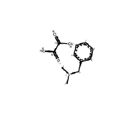 CN(C)Cc1ccccc1.O=C(O)C(=O)O